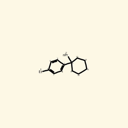 CCCC1(c2ccc(CC)cc2)CCCCC1